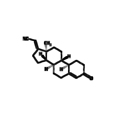 C[C@]12CC[C@H]3[C@@H](CCC4=CC(=O)CC[C@@H]43)[C@@H]1CCC2=CC#N